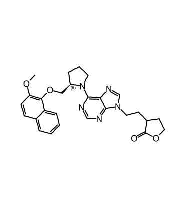 COc1ccc2ccccc2c1OC[C@H]1CCCN1c1ncnc2c1ncn2CCC1CCOC1=O